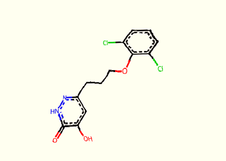 O=c1[nH]nc(CCCOc2c(Cl)cccc2Cl)cc1O